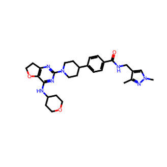 Cc1nn(C)cc1CNC(=O)c1ccc(C2CCN(c3nc4c(c(NC5CCOCC5)n3)OCC4)CC2)cc1